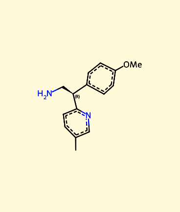 COc1ccc([C@H](CN)c2ccc(C)cn2)cc1